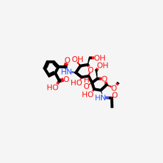 CO[C@@H]1O[C@H](CO)[C@](O)([C@@H]2O[C@H](CO)[C@H](O)[C@H](NC(=O)c3ccccc3C(=O)O)[C@H]2O)[C@H](O)[C@H]1NC(C)=O